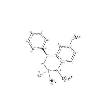 CCOC(=O)N1c2ccc(OC)nc2[C@H](c2ccccn2)C[C@@]1(N)CC